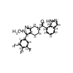 Cn1nc2c(c1-c1cc(F)c(F)c(F)c1)CCN(C(=O)c1cccc3cn[nH]c13)C2